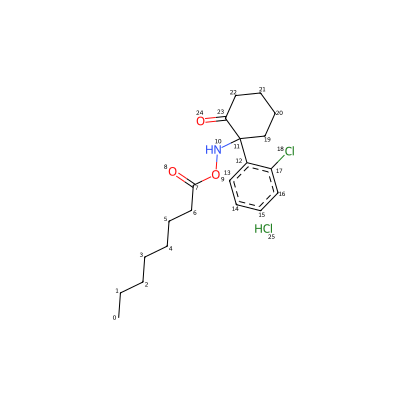 CCCCCCCC(=O)ONC1(c2ccccc2Cl)CCCCC1=O.Cl